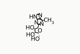 Cc1nc(C2O[C@H](CO)[C@@H](O)[C@H]2O)nc2[nH]cnc12